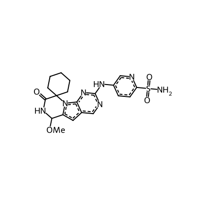 COC1NC(=O)C2(CCCCC2)n2c1cc1cnc(Nc3ccc(S(N)(=O)=O)nc3)nc12